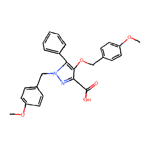 COc1ccc(COc2c(C(=O)O)nn(Cc3ccc(OC)cc3)c2-c2ccccc2)cc1